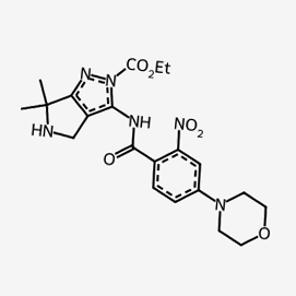 CCOC(=O)n1nc2c(c1NC(=O)c1ccc(N3CCOCC3)cc1[N+](=O)[O-])CNC2(C)C